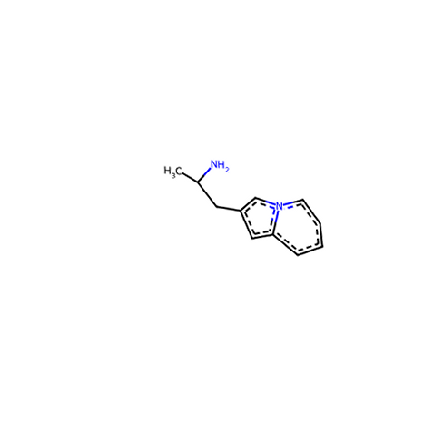 CC(N)Cc1cc2ccccn2c1